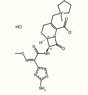 CO/N=C(\C(=O)N[C@@H]1C(=O)N2C(C(=O)[O-])=C(C[N+]3(C)CCCC3)CS[C@H]12)c1csc(N)n1.Cl